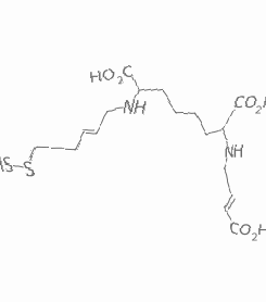 O=C(O)C=CCNC(CCCCC(NCC=CCCSS)C(=O)O)C(=O)O